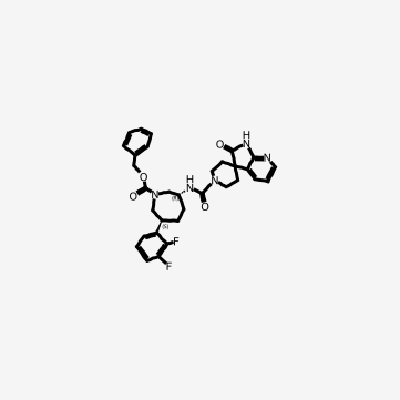 O=C(N[C@@H]1CC[C@@H](c2cccc(F)c2F)CN(C(=O)OCc2ccccc2)C1)N1CCC2(CC1)C(=O)Nc1ncccc12